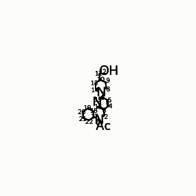 CC(=O)N(Cc1ccc(N2CCC(CO)CC2)nc1)C1CCCCC1